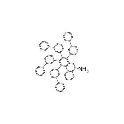 Nc1cc2c(-c3cccc(-c4ccccc4)c3)c(-c3cccc(-c4ccccc4)c3)c(-c3cccc(-c4ccccc4)c3)c(-c3cccc(-c4ccccc4)c3)c2c2ccccc12